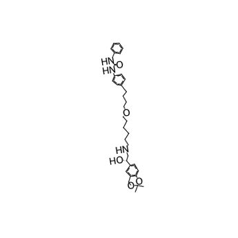 CC1(C)OCc2cc([C@H](O)CNCCCCCCOCCCCc3ccc(NC(=O)Nc4ccccc4)cc3)ccc2O1